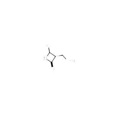 CCCCC[C@H]1C(=O)NC1C